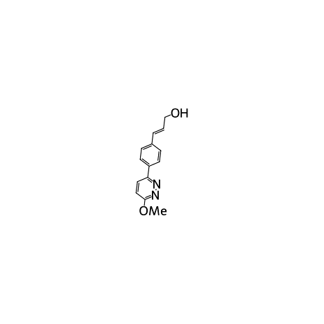 COc1ccc(-c2ccc(C=CCO)cc2)nn1